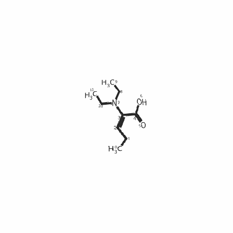 CC/C=C(\C(=O)O)N(CC)CC